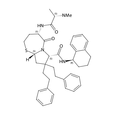 CN[C@@H](C)C(=O)N[C@H]1CCS[C@H]2CC(CCc3ccccc3)(CCc3ccccc3)[C@@H](C(=O)N[C@@H]3CCCc4ccccc43)N2C1=O